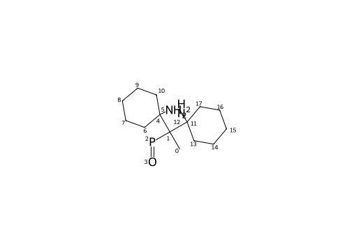 CC(P=O)(C1(N)CCCCC1)C1(N)CCCCC1